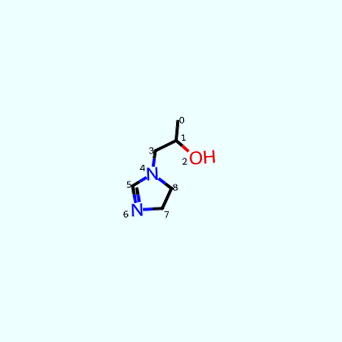 CC(O)CN1C=NCC1